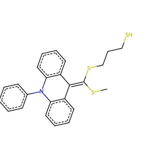 CSC(SCCCS)=C1c2ccccc2N(c2ccccc2)c2ccccc21